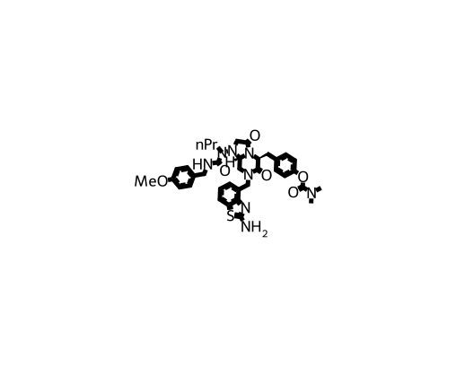 CCCN(C(=O)NCc1ccc(OC)cc1)N1CC(=O)N2[C@@H](Cc3ccc(OC(=O)N(C)C)cc3)C(=O)N(Cc3cccc4sc(N)nc34)C[C@@H]21